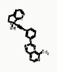 Nc1ncnc2cnc(-c3cccc(C#C[C@]4(O)CCc5cccnc54)c3)nc12